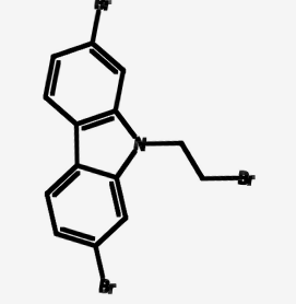 BrCCn1c2cc(Br)ccc2c2ccc(Br)cc21